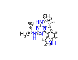 C[C@@H](Nc1nc(N[C@H](C)C2CC2)nc(-c2cccc3[nH]ccc23)n1)C1CC1